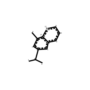 Cc1cc(C(C)C)cc2cccnc12